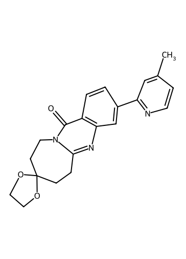 Cc1ccnc(-c2ccc3c(=O)n4c(nc3c2)CCC2(CC4)OCCO2)c1